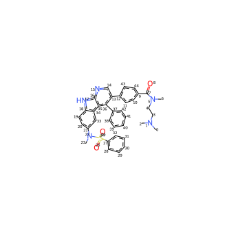 CN(C)CCN(C)C(=O)c1ccc(-c2cnc3[nH]c4ccc(N(C)S(=O)(=O)c5ccccc5)cc4c3c2-c2ccccc2)cc1